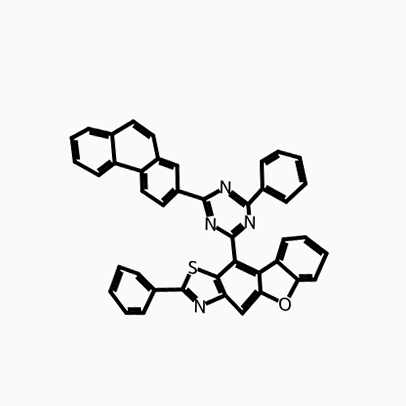 c1ccc(-c2nc(-c3ccc4c(ccc5ccccc54)c3)nc(-c3c4sc(-c5ccccc5)nc4cc4oc5ccccc5c34)n2)cc1